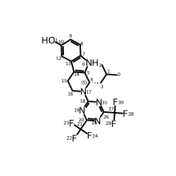 CC(C)C[C@H]1c2[nH]c3ccc(O)cc3c2CCN1c1nc(C(F)(F)F)nc(C(F)(F)F)n1